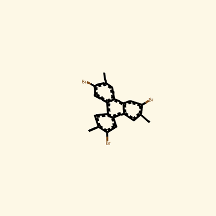 Cc1cc2c(cc1Br)c1cc(C)c(Br)cc1c1cc(C)c(Br)cc21